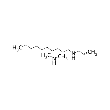 C=CCNCCCCCCCCCC.CNC